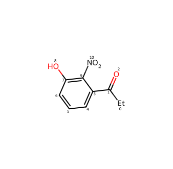 CCC(=O)c1cccc(O)c1[N+](=O)[O-]